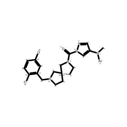 CC(=O)N(C)c1cnn(C(=O)N2CC[C@@]3(CCN(Cc4cc(Cl)ccc4Cl)C3)C2)c1